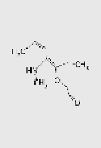 C/C=C\C(NC)=C(/CC)OCC=O